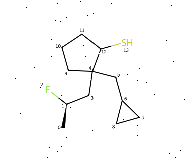 C[C@@H](F)CC1(CC2CC2)CCCC1S